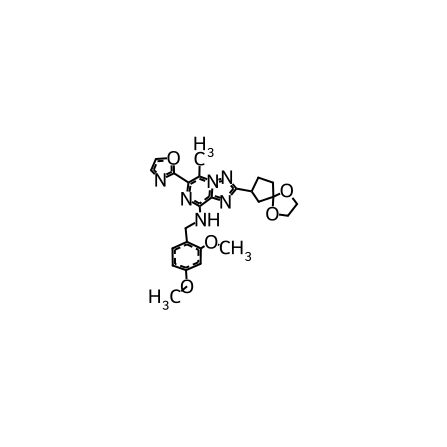 COc1ccc(CNc2nc(-c3ncco3)c(C)n3nc(C4CCC5(C4)OCCO5)nc23)c(OC)c1